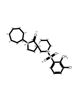 Cc1c(Cl)cccc1S(=O)(=O)N1CCC[C@@]2(CCN(C3CCCCCC3)C2=O)C1